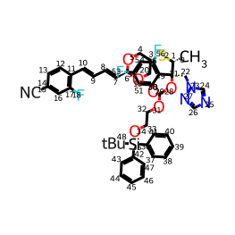 C[C@@H](S[C@H]1CO[C@H](/C=C/C=C/c2ccc(C#N)cc2F)OC1)[C@@](Cn1cncn1)(OC(=O)OCCO[Si](c1ccccc1)(c1ccccc1)C(C)(C)C)c1ccc(F)cc1F